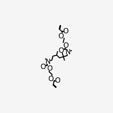 C=CC(=O)OCCOC(=O)N(C)CCC(C)CC(C)(C)CN(C)C(=O)OCCOC(=O)C=C